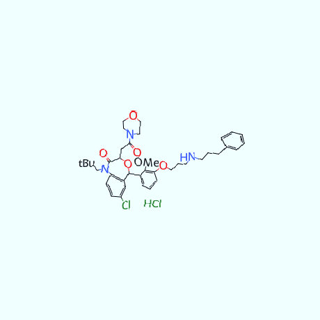 COc1c(OCCCNCCCc2ccccc2)cccc1C1OC(CC(=O)N2CCOCC2)C(=O)N(CC(C)(C)C)c2ccc(Cl)cc21.Cl